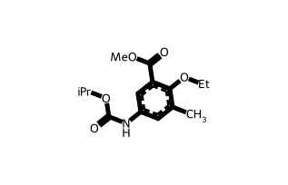 CCOc1c(C)cc(NC(=O)OC(C)C)cc1C(=O)OC